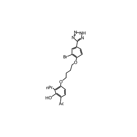 CCCc1c(OCCCCOc2ccc(-c3nn[nH]n3)cc2Br)ccc(C(C)=O)c1O